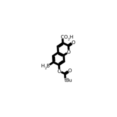 Bc1cc2cc(C(=O)O)c(=O)oc2cc1OC(=O)C(C)(C)C